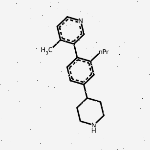 CCCc1cc(C2CCNCC2)ccc1-c1cnccc1C